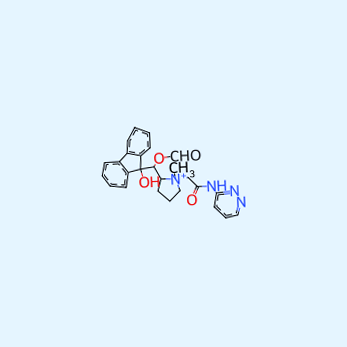 C[N+]1(CC(=O)Nc2cccnn2)CCCC1C(OC=O)C1(O)c2ccccc2-c2ccccc21